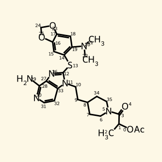 CC(=O)OC(C)C(=O)N1CCC(CCn2c(Sc3cc4c(cc3N(C)C)OCO4)nc3c(N)nccc32)CC1